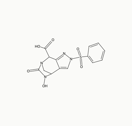 O=C(O)C1c2nn(S(=O)(=O)c3ccccc3)cc2C2CN1C(=O)N2O